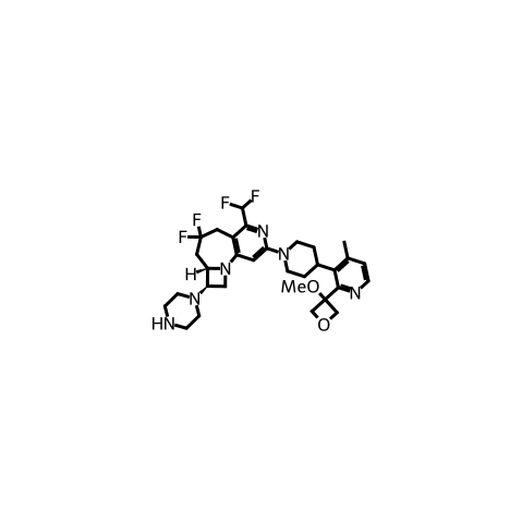 COC1(c2nccc(C)c2C2CCN(c3cc4c(c(C(F)F)n3)CC(F)(F)C[C@H]3[C@H](N5CCNCC5)CN43)CC2)COC1